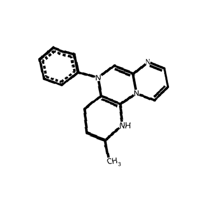 CC1CCC2=C(N1)N1C=CC=NC1=CN2c1ccccc1